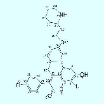 O=c1oc2c(I)c(O)ccc2c(Cc2ccc(OCCC3CCCCN3)cc2)c1-c1ccc(Cl)cc1